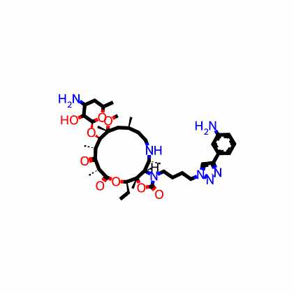 CC[C@H]1OC(=O)[C@H](C)C(=O)[C@H](C)[C@@H](O[C@@H]2OC(C)CC(N)C2O)[C@](C)(OC)C[C@@H](C)CCN[C@H](C)[C@H]2N(CCCCn3cc(-c4cccc(N)c4)nn3)C(=O)O[C@]12C